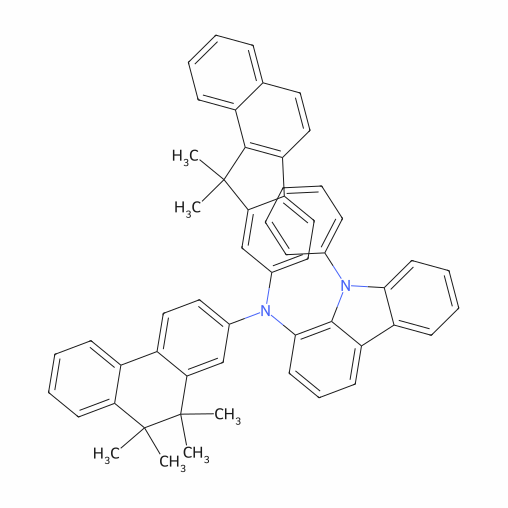 CC1(C)c2cc(N(c3ccc4c(c3)C(C)(C)C(C)(C)c3ccccc3-4)c3cccc4c5ccccc5n(-c5ccccc5)c34)ccc2-c2ccc3ccccc3c21